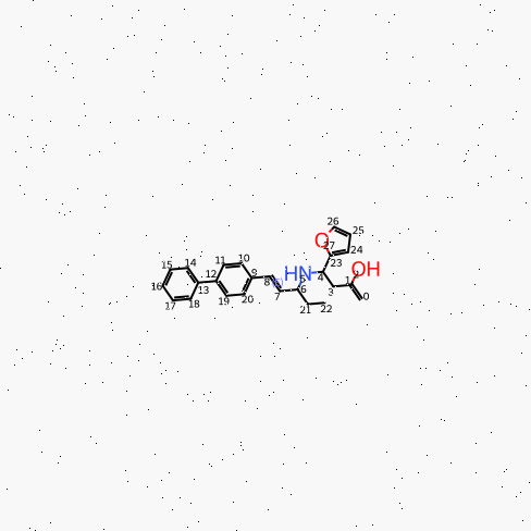 C=C(O)CC(NC(/C=C/c1ccc(-c2ccccc2)cc1)CC)c1ccco1